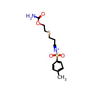 Cc1ccc(S(=O)(=O)[N+]#CCCSCCOC(N)=O)cc1